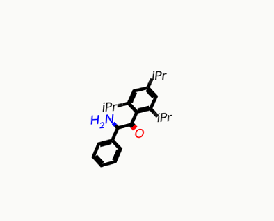 CC(C)c1cc(C(C)C)c(C(=O)C(N)c2ccccc2)c(C(C)C)c1